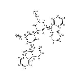 N#CC1=CC(n2c3ccccc3c3ccccc32)=CC(c2cc(C#N)cc(C3=C4Sc5ccccc5C4CC=C3)c2)C1